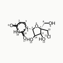 O=c1ccn([C@@H]2O[C@@](CO)(CCl)C(O)C2O)c(=O)[nH]1